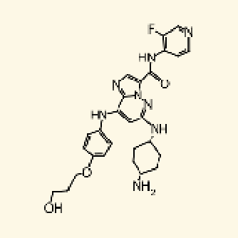 N[C@H]1CC[C@H](Nc2cc(Nc3ccc(OCCCO)cc3)c3ncc(C(=O)Nc4ccncc4F)n3n2)CC1